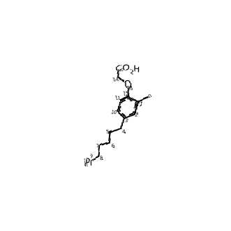 Cc1cc(CCCCCC(C)C)ccc1OCC(=O)O